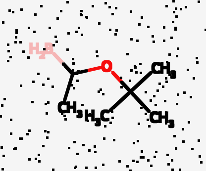 BC(C)OC(C)(C)C